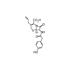 C=CCC1=C(C(=O)O)N2C(=O)C(NC(=O)Cc3ccc(O)cc3)[C@@H]2SC1